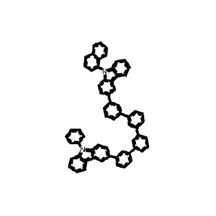 c1ccc(-n2c3ccccc3c3cc(-c4cccc(-c5cccc(-c6cccc(-c7cccc(-c8ccc9c(c8)c8ccccc8n9-c8cccc9ccccc89)c7)c6)c5)c4)ccc32)cc1